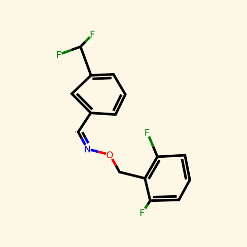 Fc1cccc(F)c1CO/N=[C]\c1cccc(C(F)F)c1